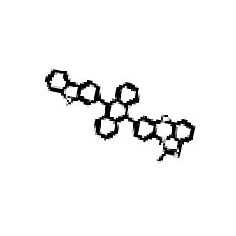 Cc1nc2cccc3c2n1-c1ccc(-c2c4ccccc4c(-c4ccc5c(c4)sc4ccccc45)c4ccccc24)cc1O3